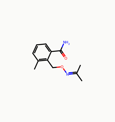 CC(C)=NOCc1c(C)cccc1C(N)=O